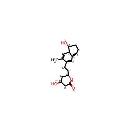 CC1=CC2C(=CCCC2O)C=C1CCC1CC(O)CC(=O)O1